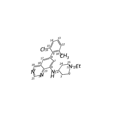 CCN1CCC(Nc2cc(-c3c(C)cccc3Cl)cc3cncnc23)CC1